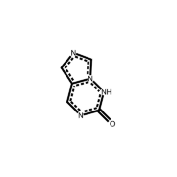 O=c1ncc2cncn2[nH]1